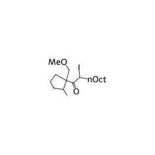 CCCCCCCCC(I)C(=O)C1(COC)CCCC1C